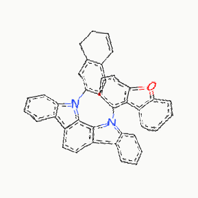 C1=Cc2ccc(-n3c4ccccc4c4ccc5c6ccccc6n(-c6cccc7oc8ccccc8c67)c5c43)cc2CC1